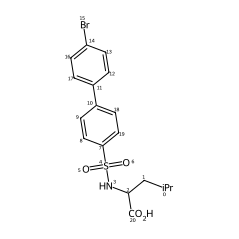 CC(C)CC(NS(=O)(=O)c1ccc(-c2ccc(Br)cc2)cc1)C(=O)O